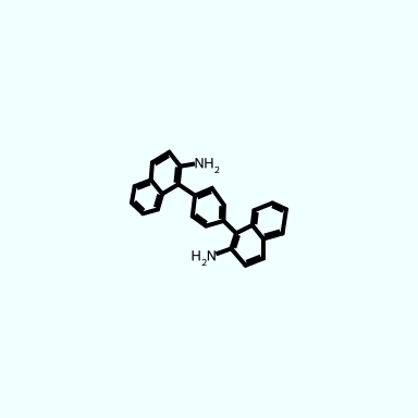 Nc1ccc2ccccc2c1-c1ccc(-c2c(N)ccc3ccccc23)cc1